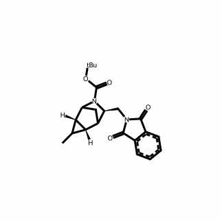 CC1[C@@H]2C3CC([C@H]12)[C@H](CN1C(=O)c2ccccc2C1=O)N3C(=O)OC(C)(C)C